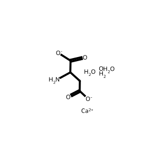 NC(CC(=O)[O-])C(=O)[O-].O.O.O.[Ca+2]